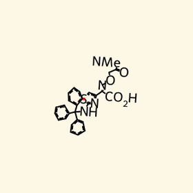 CNC(=O)CO/N=C(\C(=O)O)c1csc(NC(c2ccccc2)(c2ccccc2)c2ccccc2)n1